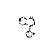 C1=C[N]C(c2ccnc3ccccc23)=C1